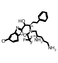 NCCC[C@@H](N)CN(C(=O)C(F)(F)F)[C@H](CCc1ccccc1)C(O)c1nc2cc(Cl)ccc2o1